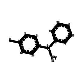 Cc1ccc(N(c2ccccc2)C(C)C)cc1